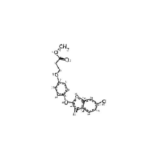 COC(=O)CCOc1ccc(Oc2nc3ccc(Cl)cc3o2)cc1